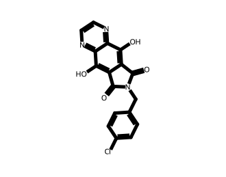 O=C1c2c(c(O)c3nccnc3c2O)C(=O)N1Cc1ccc(Cl)cc1